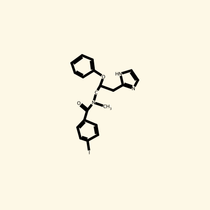 CN(CC(Cc1ncc[nH]1)Oc1ccccc1)C(=O)c1ccc(I)cc1